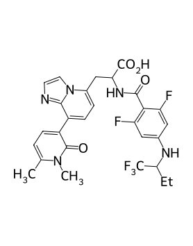 CCC(Nc1cc(F)c(C(=O)NC(Cc2ccc(-c3ccc(C)n(C)c3=O)c3nccn23)C(=O)O)c(F)c1)C(F)(F)F